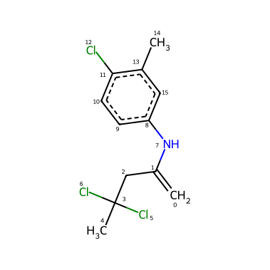 C=C(CC(C)(Cl)Cl)Nc1ccc(Cl)c(C)c1